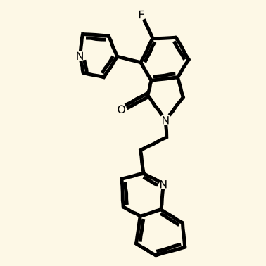 O=C1c2c(ccc(F)c2-c2ccncc2)CN1CCc1ccc2ccccc2n1